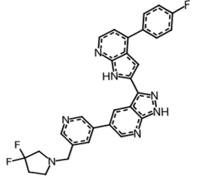 Fc1ccc(-c2ccnc3[nH]c(-c4n[nH]c5ncc(-c6cncc(CN7CCC(F)(F)C7)c6)cc45)cc23)cc1